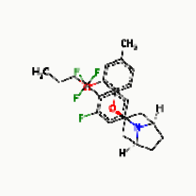 CCCOc1cc(C)ccc1O[C@H]1C[C@H]2CC[C@@H](C1)N2c1ccc(C(F)(F)F)c(F)c1